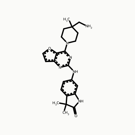 CC1(CN)CCN(c2nc(Nc3ccc4c(c3)NC(=O)C4(C)C)nc3ccoc23)CC1